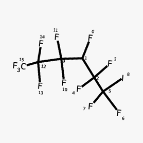 FC(C(F)(F)C(F)(F)I)C(F)(F)C(F)(F)C(F)(F)F